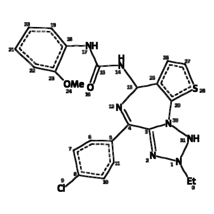 CCN1N=C2C(c3ccc(Cl)cc3)=NC(NC(=O)Nc3ccccc3OC)c3ccsc3N2N1